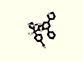 Cn1cncc1C(N)(c1ccc(C#N)cc1)c1cc2cc(-c3cccnc3)cc(-c3ccccc3)c2o1